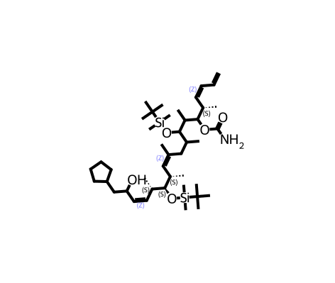 C=C/C=C\[C@H](C)C(OC(N)=O)C(C)C(O[Si](C)(C)C(C)(C)C)C(C)C/C(C)=C\[C@H](C)[C@@H](O[Si](C)(C)C(C)(C)C)[C@@H](C)/C=C\C(O)CC1CCCC1